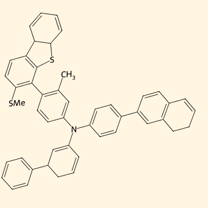 CSc1ccc2c(c1-c1ccc(N(C3=CC(c4ccccc4)CC=C3)c3ccc(-c4ccc5c(c4)CCC=C5)cc3)cc1C)SC1C=CC=CC21